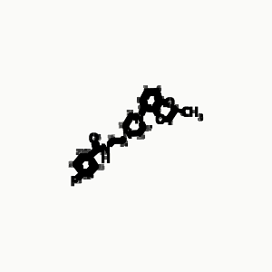 C[C@H]1COc2c(cccc2N2CCN(CCNC(=O)c3ccc(F)cc3)CC2)O1